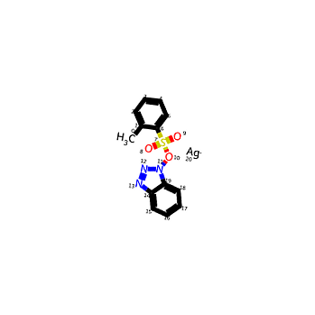 Cc1ccccc1S(=O)(=O)On1nnc2ccccc21.[Ag]